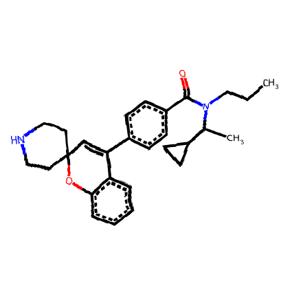 CCCN(C(=O)c1ccc(C2=CC3(CCNCC3)Oc3ccccc32)cc1)C(C)C1CC1